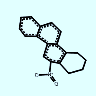 O=[N+]([O-])c1cc2c(ccc3ccccc32)c2c1CCCC2